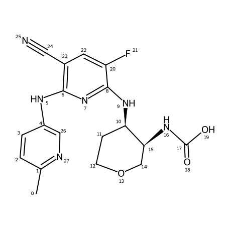 Cc1ccc(Nc2nc(N[C@@H]3CCOC[C@@H]3NC(=O)O)c(F)cc2C#N)cn1